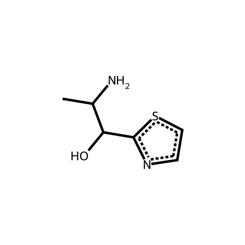 CC(N)C(O)c1nccs1